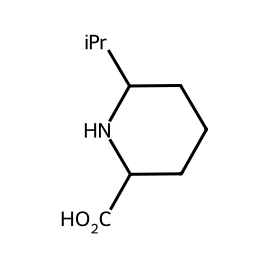 CC(C)C1CCCC(C(=O)O)N1